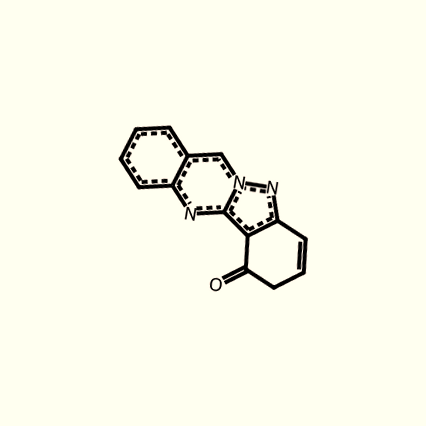 O=C1CC=Cc2nn3cc4ccccc4nc3c21